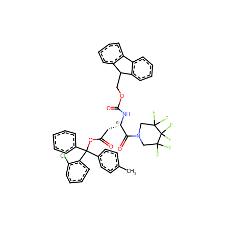 Cc1ccc(C(OC(=O)C[C@H](NC(=O)OCC2c3ccccc3-c3ccccc32)C(=O)N2CC(F)(F)C(F)(F)C(F)(F)C2)(c2ccccc2)c2ccccc2Cl)cc1